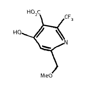 COCc1cc(O)c(C(=O)O)c(C(F)(F)F)n1